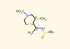 C[C@H](N[S+]([O-])C(C)(C)C)[C@@H]1CCN(C(=O)O)C[C@@H]1C